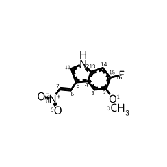 COc1cc2c(/C=C/[N+](=O)[O-])c[nH]c2cc1F